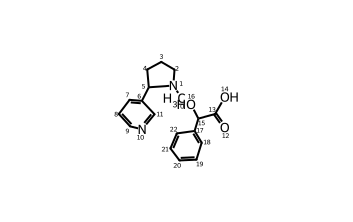 CN1CCCC1c1cccnc1.O=C(O)C(O)c1ccccc1